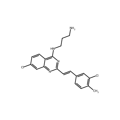 Cc1ccc(/C=C/c2nc(NCCCN)c3ccc(Cl)cc3n2)cc1Cl